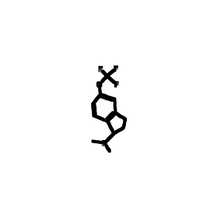 CN(C)C1CCc2cc(OC(F)(F)F)ccc21